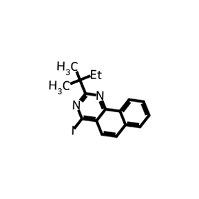 CCC(C)(C)c1nc(I)c2ccc3ccccc3c2n1